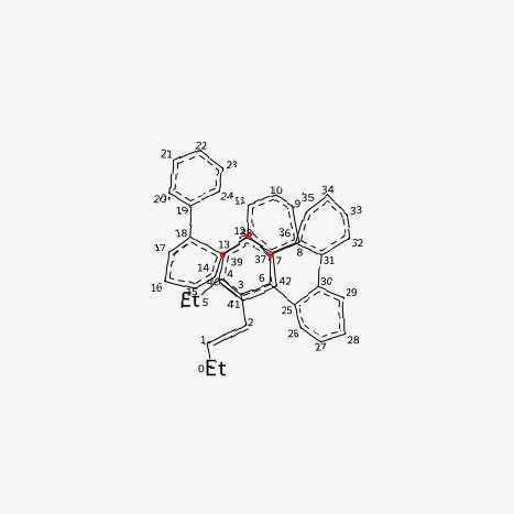 CCC=CC(=CCC)C(c1ccccc1-c1ccccc1-c1[c]cccc1)c1ccccc1-c1ccccc1-c1[c]cccc1